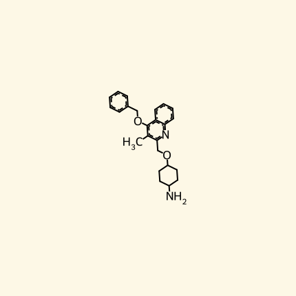 Cc1c(COC2CCC(N)CC2)nc2ccccc2c1OCc1ccccc1